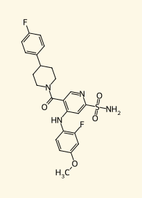 COc1ccc(Nc2cc(S(N)(=O)=O)ncc2C(=O)N2CCC(c3ccc(F)cc3)CC2)c(F)c1